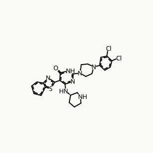 O=c1[nH]c(N2CCN(c3ccc(Cl)c(Cl)c3)CC2)nc(N[C@@H]2CCCNC2)c1-c1nc2ccccc2s1